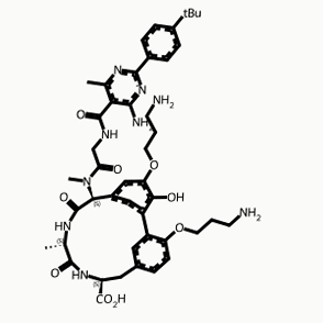 Cc1nc(-c2ccc(C(C)(C)C)cc2)nc(N)c1C(=O)NCC(=O)N(C)[C@@H]1C(=O)N[C@@H](C)C(=O)N[C@H](C(=O)O)Cc2ccc(OCCCN)c(c2)-c2cc1cc(OCCCN)c2O